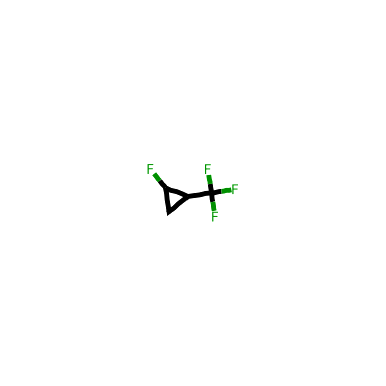 FC1C[C]1C(F)(F)F